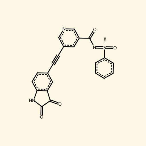 C[S@@](=O)(=NC(=O)c1cncc(C#Cc2ccc3c(c2)C(=O)C(=O)N3)c1)c1ccccc1